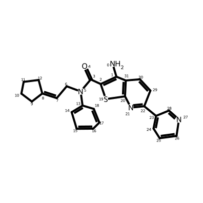 Nc1c(C(=O)N(CC=C2CCCC2)c2ccccc2)sc2nc(-c3cccnc3)ccc12